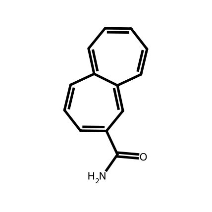 NC(=O)C1=CC=CC2=CC=CC=CC2=C1